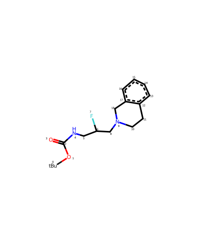 CC(C)(C)OC(=O)NCC(F)CN1CCc2ccccc2C1